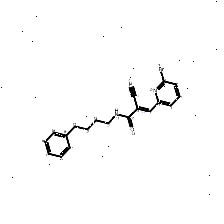 N#C/C(=C\c1cccc(Br)n1)C(=O)NCCCCc1ccccc1